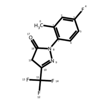 Cc1cc(F)ccc1N1N=C(C(F)(F)F)CC1=O